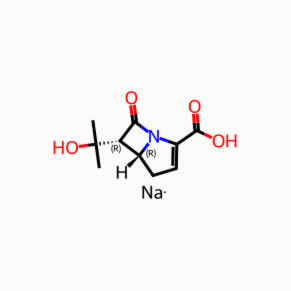 CC(C)(O)[C@@H]1C(=O)N2C(C(=O)O)=CC[C@H]12.[Na]